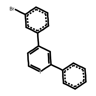 Brc1cccc(C2=CC=IC(c3ccccc3)=C2)c1